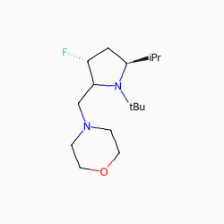 CC(C)[C@@H]1C[C@@H](F)C(CN2CCOCC2)N1C(C)(C)C